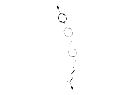 N#C/C(F)=C/C=C/CC[C@H]1CC[C@H](CC[C@H]2CC[C@H](c3ccc(C#N)cc3)CC2)CC1